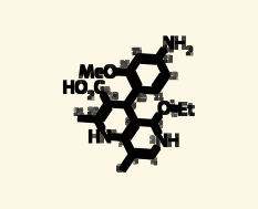 CCOC1NC=C(C)C2=C1C(c1ccc(N)cc1OC)C(C(=O)O)=C(C)N2